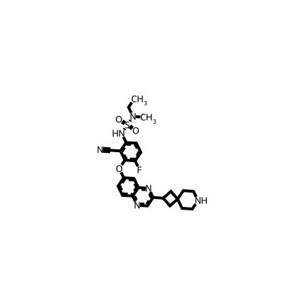 CCN(C)S(=O)(=O)Nc1ccc(F)c(Oc2ccc3ncc(C4CC5(CCNCC5)C4)nc3c2)c1C#N